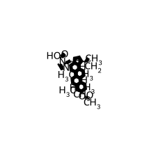 C=C(C)[C@@H]1CC[C@]2(Cc3nccn3C(=O)O)CC[C@]3(C)[C@H](CC[C@@H]4[C@@]5(C)CC[C@H](OC(C)=O)C(C)(C)[C@@H]5CC[C@]43C)[C@@H]12